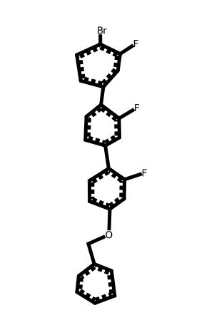 Fc1cc(-c2ccc(-c3ccc(OCc4ccccc4)cc3F)cc2F)ccc1Br